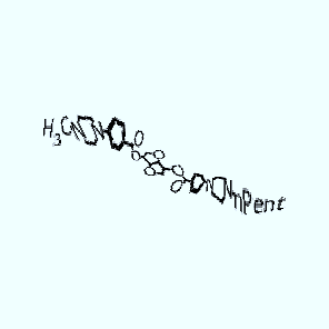 CCCCCN1CCN(c2ccc(C(=O)OC3COC4C(OC(=O)c5ccc(N6CCN(C)CC6)cc5)COC34)cc2)CC1